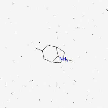 CC1CC2CC(C)CC(C1)C2N